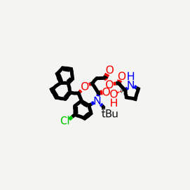 CC(C)(C)CN1C(=O)C(CC(=O)OC(=O)[C@]2(O)CCCN2)OC(c2cccc3ccccc23)c2cc(Cl)ccc21